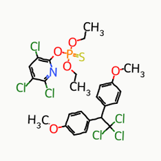 CCOP(=S)(OCC)Oc1nc(Cl)c(Cl)cc1Cl.COc1ccc(C(c2ccc(OC)cc2)C(Cl)(Cl)Cl)cc1